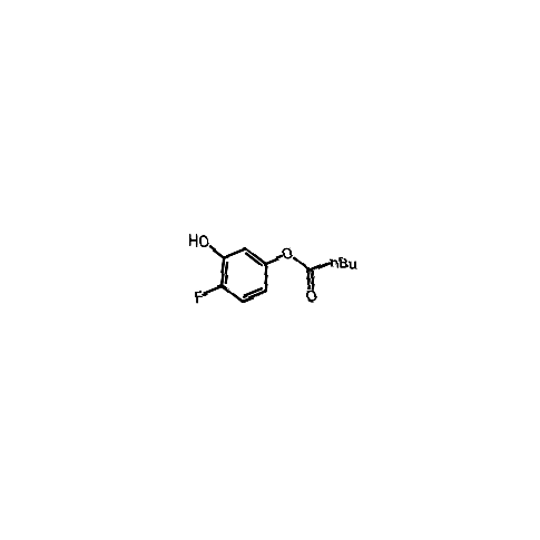 CCCCC(=O)Oc1ccc(F)c(O)c1